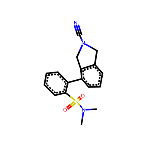 CN(C)S(=O)(=O)c1ccccc1-c1cccc2c1CN(C#N)C2